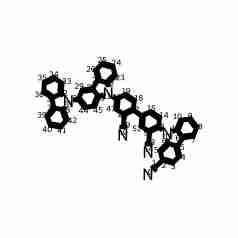 N#Cc1ccc2c3ccccc3n(-c3ccc(-c4ccc(-n5c6ccccc6c6cc(-n7c8ccccc8c8ccccc87)ccc65)cc4C#N)cc3C#N)c2c1